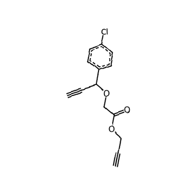 C#CCOC(=O)COC(C#C)c1ccc(Cl)cc1